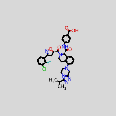 CC(C)c1nnc2n1CCN(c1cccc3c1CCN(C(=O)[C@@H]1CC(c4cccc(Cl)c4F)=NO1)[C@H]3C(=O)Nc1ccc(C(=O)O)cc1)C2